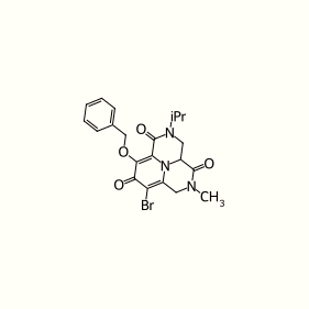 CC(C)N1CC2C(=O)N(C)Cc3c(Br)c(=O)c(OCc4ccccc4)c(n32)C1=O